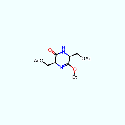 CCOC1=N[C@@H](COC(C)=O)C(=O)N[C@H]1COC(C)=O